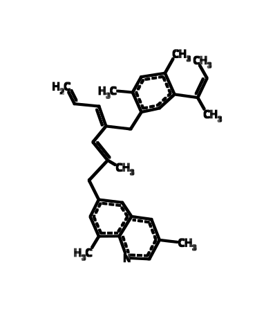 C=C/C=C(\C=C(/C)Cc1cc(C)c2ncc(C)cc2c1)Cc1cc(/C(C)=C\C)c(C)cc1C